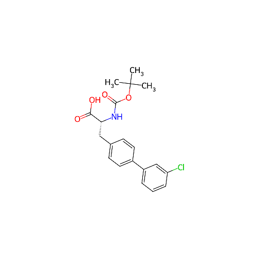 CC(C)(C)OC(=O)N[C@H](Cc1ccc(-c2cccc(Cl)c2)cc1)C(=O)O